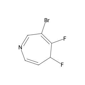 FC1=C(Br)C=NC=CC1F